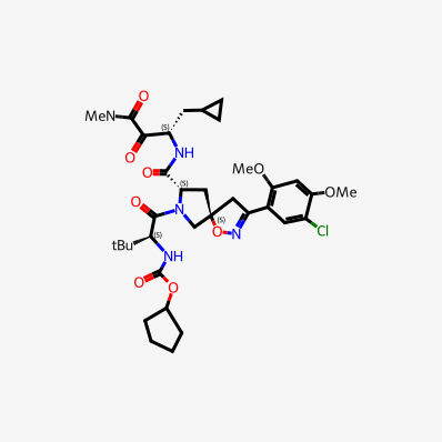 CNC(=O)C(=O)[C@H](CC1CC1)NC(=O)[C@@H]1C[C@]2(CC(c3cc(Cl)c(OC)cc3OC)=NO2)CN1C(=O)[C@@H](NC(=O)OC1CCCC1)C(C)(C)C